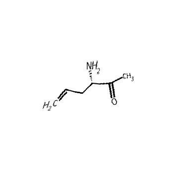 C=CC[C@H](N)C(C)=O